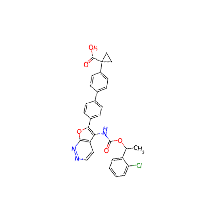 CC(OC(=O)Nc1c(-c2ccc(-c3ccc(C4(C(=O)O)CC4)cc3)cc2)oc2nnccc12)c1ccccc1Cl